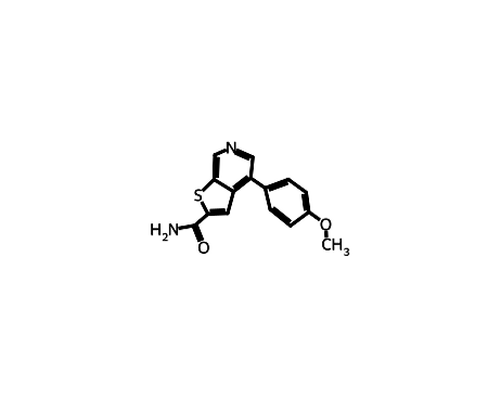 COc1ccc(-c2cncc3sc(C(N)=O)cc23)cc1